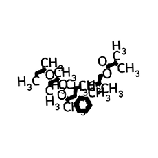 CC(=O)CC(C)C.CC(C)COC(=O)C(C)C.CCC(C)=O.CCC(C)=O.Cc1ccccc1